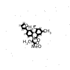 COC(=O)[C@H](C)N(C(=O)c1cc(C)cc(C)c1)c1ccc(-c2ccco2)cc1